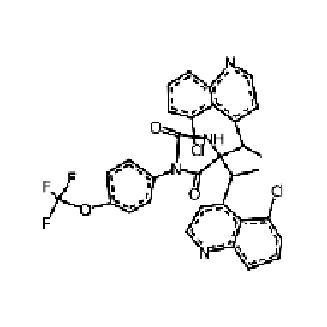 CC(c1ccnc2cccc(Cl)c12)C1(C(C)c2ccnc3cccc(Cl)c23)NC(=O)N(c2ccc(OC(F)(F)F)cc2)C1=O